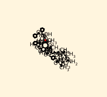 CC(=O)O[C@H]1C(=O)[C@@]2(C)C([C@H](OC(=O)c3ccccc3)[C@]3(O)C[C@H](OC(=O)[C@H](O)[C@@H](NC(=O)c4ccccc4)c4ccccc4)C(C)=C1C3(C)C)[C@]1(OC(C)=O)CO[C@@H]1C[C@@H]2OC(=O)OCc1ccc(NC(=O)[C@@H](CC(C)C)NC(=O)[C@@H](CC(N)=O)NC(=O)[C@@H](C)NC(=O)[C@@H](C)NC[C@@H](O)CCC(O)O)cc1